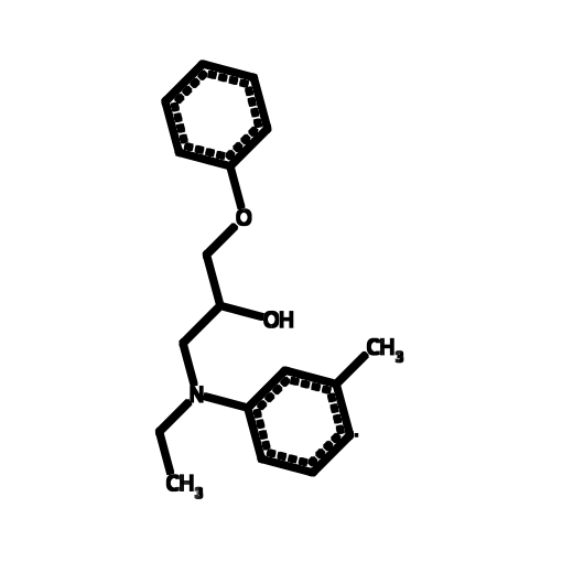 CCN(CC(O)COc1ccccc1)c1cc[c]c(C)c1